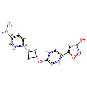 Oc1cc(-c2cnc(O[C@H]3C[C@@H](c4ccc(OC(F)(F)F)cn4)C3)cn2)on1